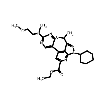 CCOC(=O)c1cc(-c2cnc(N(C)CCOC)nc2)c2c(C(C)C)nn(C3CCCCC3)c2n1